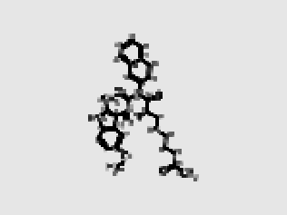 COc1ccc2[nH]c(C)c(CC(=O)N(C(=O)[C@@H](N)CSCCCC(C)=O)c3ccc4ccccc4c3)c2c1